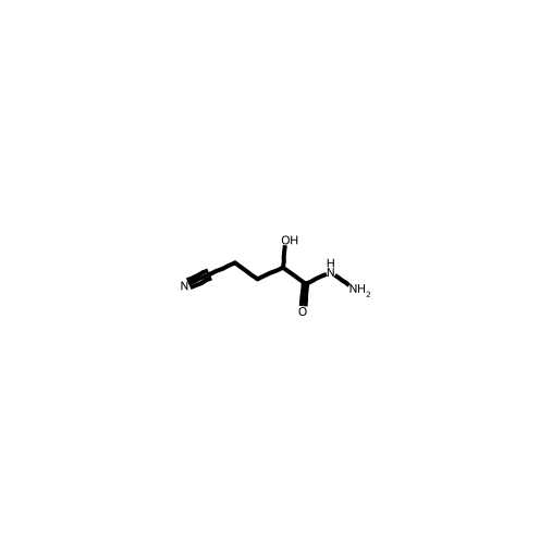 N#CCCC(O)C(=O)NN